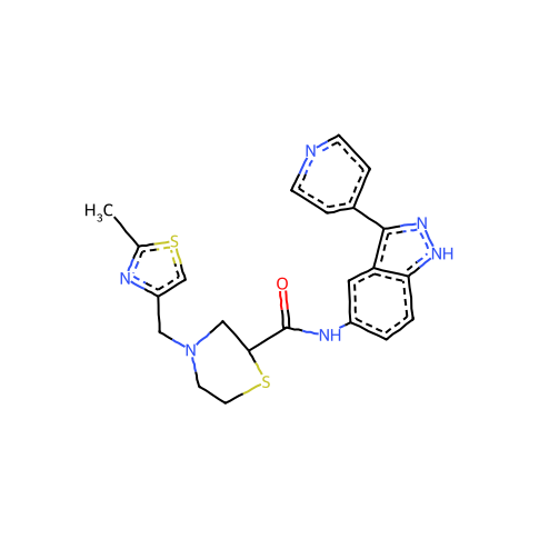 Cc1nc(CN2CCSC(C(=O)Nc3ccc4[nH]nc(-c5ccncc5)c4c3)C2)cs1